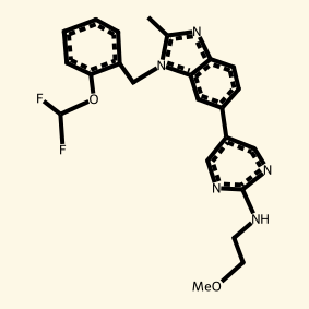 COCCNc1ncc(-c2ccc3nc(C)n(Cc4ccccc4OC(F)F)c3c2)cn1